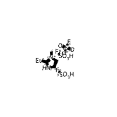 CCc1[nH]cc[n+]1C.O=S(=O)(O)F.O=S(=O)(O)F.O=S(=O)([O-])F